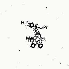 CC[C@@H](CCC[C@@H](CO)N(CCC(C)C)S(=O)(=O)c1ccc(N)c(F)c1)N(C(=O)OC)C(=O)[C@@H](N)C(c1ccccc1)c1ccccc1